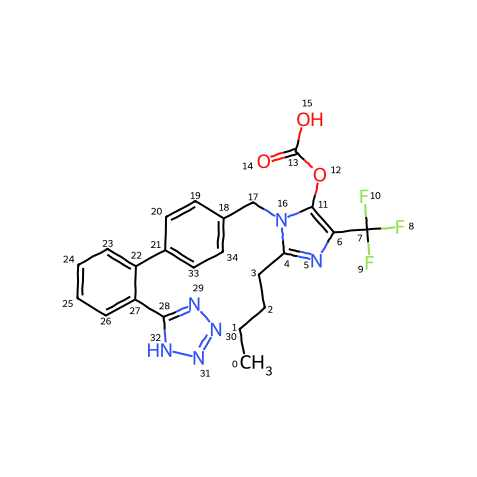 CCCCc1nc(C(F)(F)F)c(OC(=O)O)n1Cc1ccc(-c2ccccc2-c2nnn[nH]2)cc1